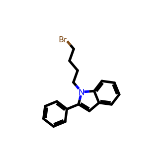 BrCCCCn1c(-c2ccccc2)cc2ccccc21